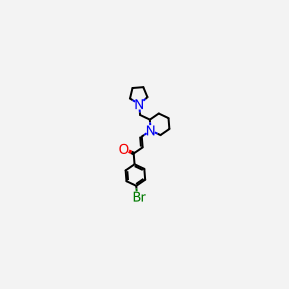 O=C(/C=C/N1CCCCC1CN1CCCC1)c1ccc(Br)cc1